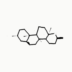 CC(=O)O[C@H]1CC[C@@]2(C)C(=CC[C@@H]3[C@@H]2CC[C@]2(C)NC(=O)CC[C@@H]32)C1